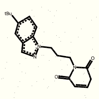 CC(C)(C)c1ccc2c(cnn2CCCN2C(=O)C=CCC2=O)c1